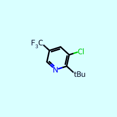 [CH2]C(C)(C)c1ncc(C(F)(F)F)cc1Cl